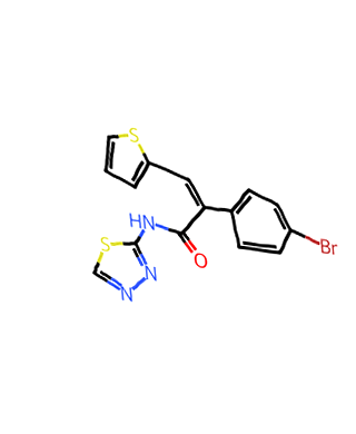 O=C(Nc1nncs1)C(=Cc1cccs1)c1ccc(Br)cc1